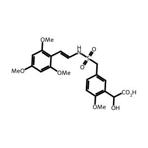 COc1cc(OC)c(C=CNS(=O)(=O)Cc2ccc(OC)c(C(O)C(=O)O)c2)c(OC)c1